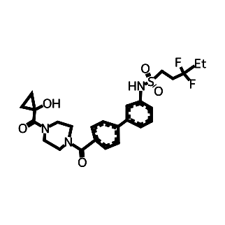 CCC(F)(F)CCS(=O)(=O)Nc1cccc(-c2ccc(C(=O)N3CCN(C(=O)C4(O)CC4)CC3)cc2)c1